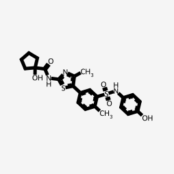 Cc1ccc(-c2sc(NC(=O)C3(O)CCCC3)nc2C)cc1S(=O)(=O)Nc1ccc(O)cc1